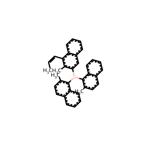 C/C=C\c1c(C)c(B(c2c(C)ccc3ccccc23)c2c(C)ccc3ccccc23)cc2ccccc12